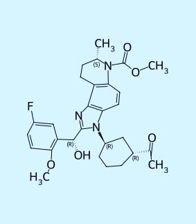 COC(=O)N1c2ccc3c(nc([C@H](O)c4cc(F)ccc4OC)n3[C@@H]3CCC[C@@H](C(C)=O)C3)c2CC[C@@H]1C